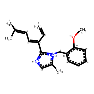 C=C/C(=C\C=C(C)C)c1ncc(C)n1Cc1ccccc1OC